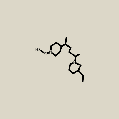 CCC1CCCN(C(C)CCC(C)C2CCN(SS)CC2)C1